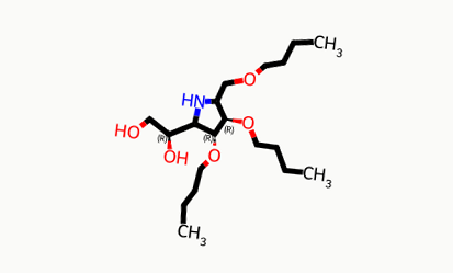 CCCCOCC1NC([C@@H](O)CO)[C@@H](OCCCC)[C@@H]1OCCCC